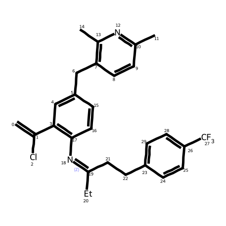 C=C(Cl)c1cc(Cc2ccc(C)nc2C)ccc1/N=C(/CC)CCc1ccc(C(F)(F)F)cc1